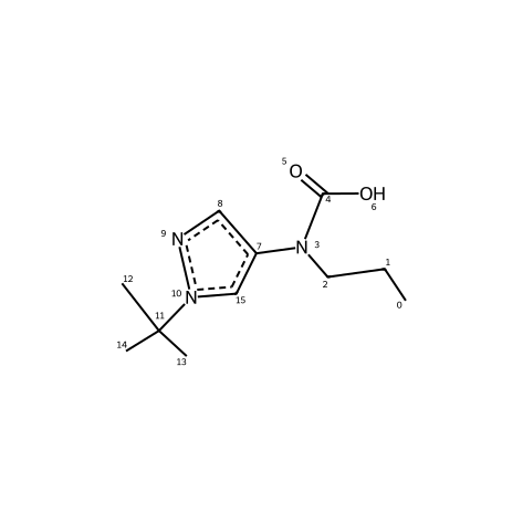 CCCN(C(=O)O)c1cnn(C(C)(C)C)c1